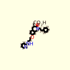 O=C(O)C[C@@H]1Cc2ccc(OCCCNc3ccccn3)cc2CN(CCc2ccccc2)C1=O